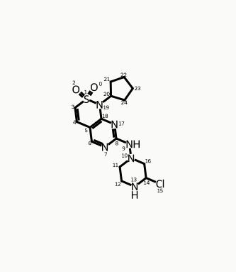 O=S1(=O)C=Cc2cnc(NN3CCNC(Cl)C3)nc2N1C1CCCC1